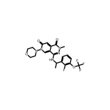 CC(Nc1nn(C)c(=O)c2cc(=O)n(N3CCOCC3)cc12)c1cccc(OC(F)(F)F)c1F